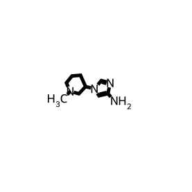 CN1CCCC(n2cnc(N)c2)C1